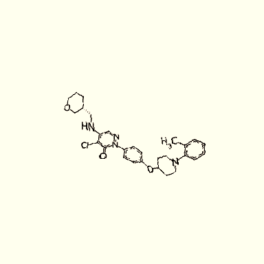 Cc1ccccc1N1CCC(Oc2ccc(-n3ncc(NC[C@H]4CCCOC4)c(Cl)c3=O)cc2)CC1